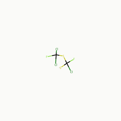 FC([S])(Cl)SC(F)(Cl)Cl